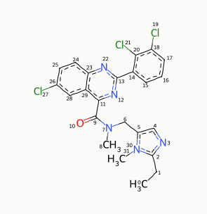 CCc1ncc(CN(C)C(=O)c2nc(-c3cccc(Cl)c3Cl)nc3ccc(Cl)cc23)n1C